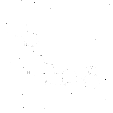 COc1cccnc1N1CCN(CCCCOc2cnn(C)c(=O)n2)CC1.O=C(O)C=CC(=O)O